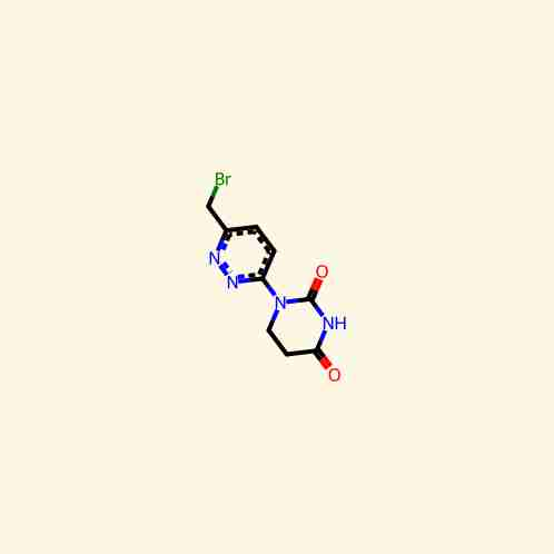 O=C1CCN(c2ccc(CBr)nn2)C(=O)N1